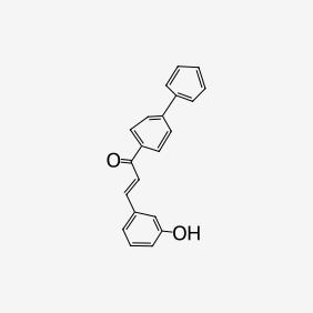 O=C(C=Cc1cccc(O)c1)c1ccc(-c2ccccc2)cc1